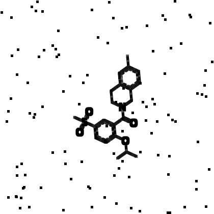 Cc1ccc2c(c1)CCN(C(=O)c1cc(S(C)(=O)=O)ccc1OC(C)C)C2